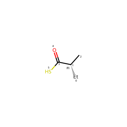 CC[C@@H](C)C(=O)S